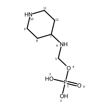 O=P(O)(O)OCNC1CCNCC1